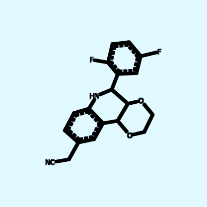 N#CCc1ccc2c(c1)C1OCCOC1C(c1cc(F)ccc1F)N2